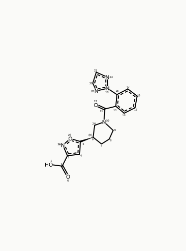 O=C(O)c1cc([C@@H]2CCCN(C(=O)c3ccccc3-n3nccn3)C2)on1